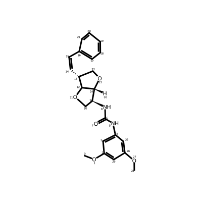 COc1cc(NC(=O)N[C@H]2COC3[C@H](/C=C\c4ccccc4)CO[C@@H]32)cc(OC)c1